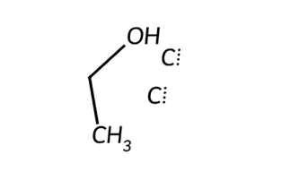 CCO.[C].[C]